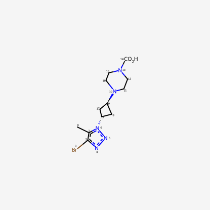 Cc1c(Br)nnn1[C@H]1C[C@H](N2CCN(C(=O)O)CC2)C1